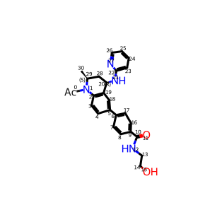 CC(=O)N1c2ccc(-c3ccc(C(=O)NCCO)cc3)cc2[C@H](Nc2ccccn2)C[C@@H]1C